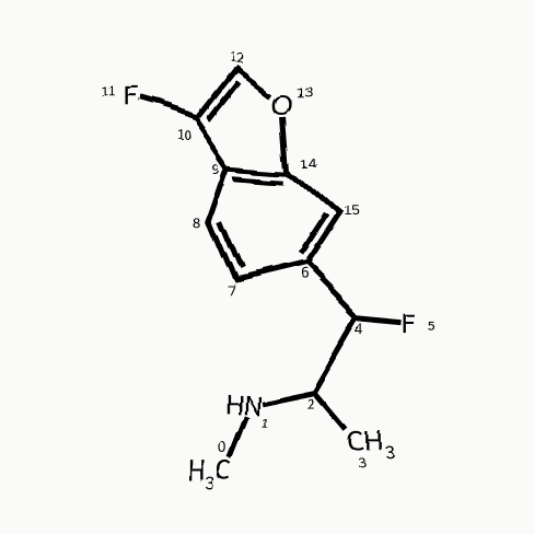 CNC(C)C(F)c1ccc2c(F)coc2c1